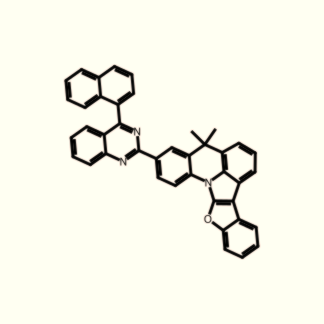 CC1(C)c2cc(-c3nc(-c4cccc5ccccc45)c4ccccc4n3)ccc2-n2c3oc4ccccc4c3c3cccc1c32